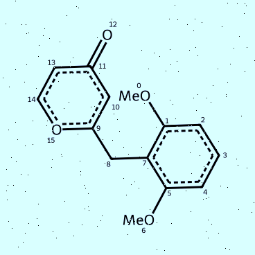 COc1cccc(OC)c1Cc1cc(=O)cco1